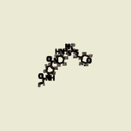 C=CC(=O)Nc1ccc(C(=O)N2CCC[C@@H](Nc3ncc(SCC4CCOCC4)s3)C2)cc1